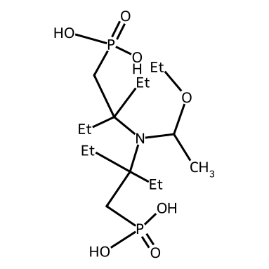 CCOC(C)N(C(CC)(CC)CP(=O)(O)O)C(CC)(CC)CP(=O)(O)O